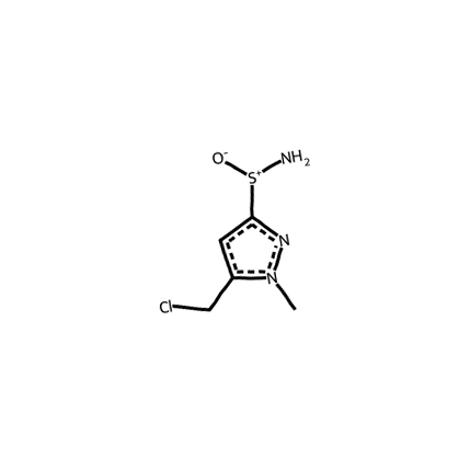 Cn1nc([S+](N)[O-])cc1CCl